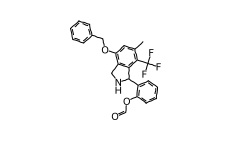 Cc1cc(OCc2ccccc2)c2c(c1C(F)(F)F)C(c1ccccc1OC=O)NC2